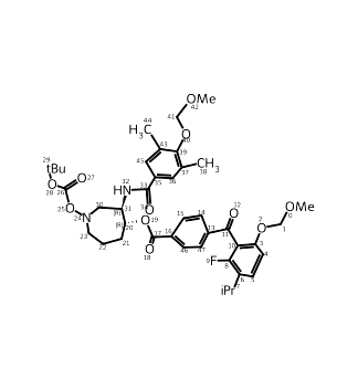 COCOc1ccc(C(C)C)c(F)c1C(=O)c1ccc(C(=O)O[C@@H]2CCCN(OC(=O)OC(C)(C)C)C[C@H]2NC(=O)c2cc(C)c(OCOC)c(C)c2)cc1